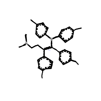 Cc1ccc(B(/C(=C(\CCN(C)C)c2ccc(C)cc2)c2ccc(C)cc2)c2ccc(C)cc2)cc1